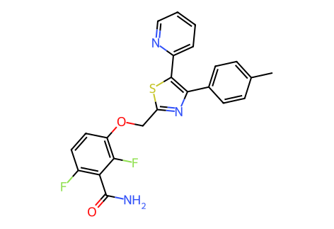 Cc1ccc(-c2nc(COc3ccc(F)c(C(N)=O)c3F)sc2-c2ccccn2)cc1